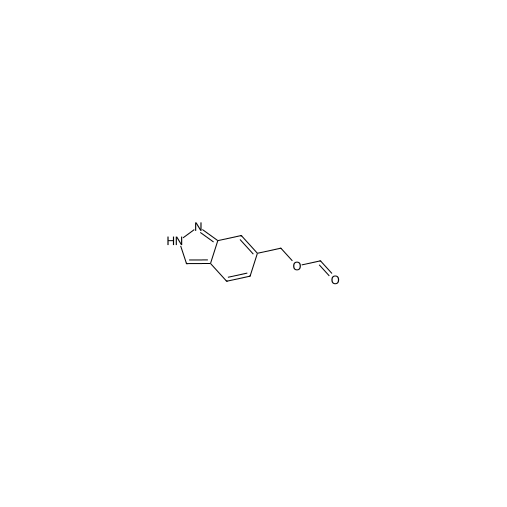 O=COCc1ccc2c[nH]nc2c1